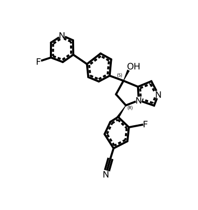 N#Cc1ccc([C@H]2C[C@](O)(c3ccc(-c4cncc(F)c4)cc3)c3cncn32)c(F)c1